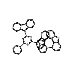 c1ccc(-c2nc(-c3cccc(-c4cccc5oc6cccc(-c7cccc8sc9ccccc9c78)c6c45)c3)nc(-n3c4ccccc4c4ccccc43)n2)cc1